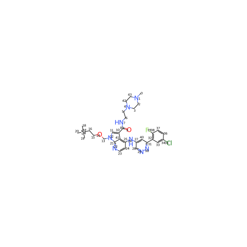 CN1CCN(CCNC(=O)c2cn(COCC[Si](C)(C)C)c3nccc(Nc4cnnc(-c5cc(Cl)ccc5F)c4)c23)CC1